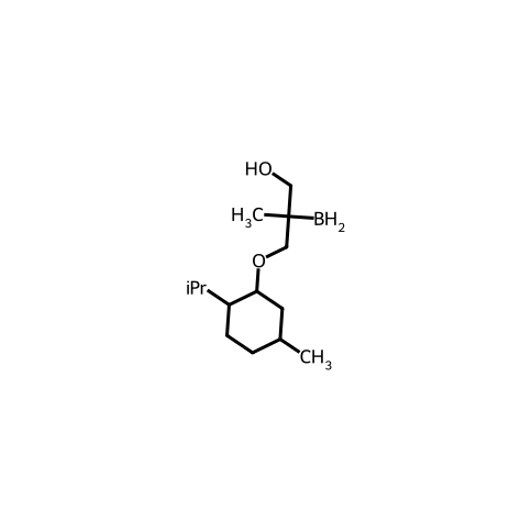 BC(C)(CO)COC1CC(C)CCC1C(C)C